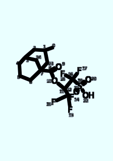 CC1CC2CCCC(C(=O)OC(C(F)(F)F)C(F)(F)S(=O)(=O)O)(C1)C2